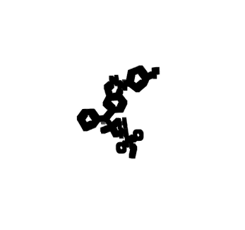 CCS(=O)(=O)NCC(C)(C)[C@@H](c1ccccc1)c1ccc2c(cnn2-c2ccc(F)cc2)c1